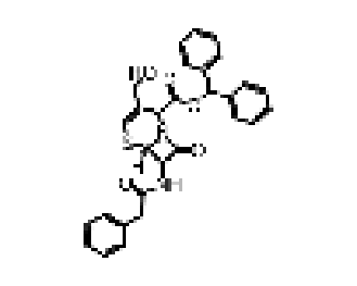 O=C(Cc1ccccc1)NC1C(=O)N2C(C(=O)OC(c3ccccc3)c3ccccc3)C(CO)=CS[C@H]12